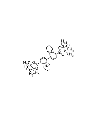 CC1(C)OB(c2ccc(-c3ccc(B4OC(C)(C)C(C)(C)O4)c4c3C3CCC4C3)c3c2C2CCC3CC2)OC1(C)C